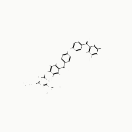 CCCCN(CCCC)c1nc(SC)nc(Sc2c(F)c(F)c(C(=O)c3ccc(Oc4ccc(C(=O)c5c(F)c(F)c(C)c(F)c5F)cc4)cc3)c(F)c2F)n1